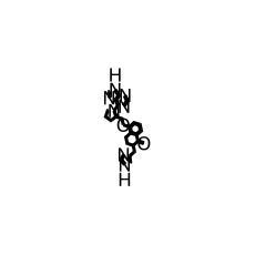 O=C1c2cccc(OCC3CCCN3c3ncnc4[nH]cnc34)c2CCC1Cc1c[nH]cn1